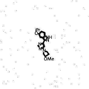 CO[C@@H]1CCN(c2cc(-c3n[nH]c4ccc(OC(C)C)cc34)ncn2)C1